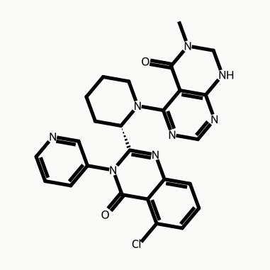 CN1CNc2ncnc(N3CCCC[C@H]3c3nc4cccc(Cl)c4c(=O)n3-c3cccnc3)c2C1=O